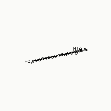 CC(C)(C)OC(=O)NCCNC(=O)NCCOCCOCCOCCOCCOCCOCCOCCOCCOCCOCCOCCOCCC(=O)O